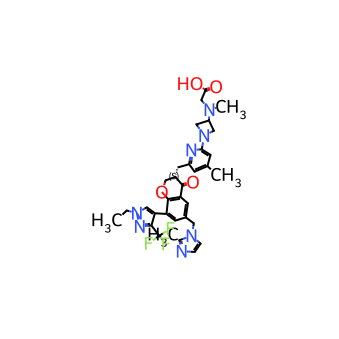 CCn1cc(-c2cc(Cn3ccnc3C)cc3c2OC[C@H](Cc2cc(C)cc(N4CC(N(C)CC(=O)O)C4)n2)C3=O)c(C(F)(F)F)n1